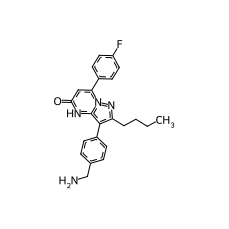 CCCCc1nn2c(-c3ccc(F)cc3)cc(=O)[nH]c2c1-c1ccc(CN)cc1